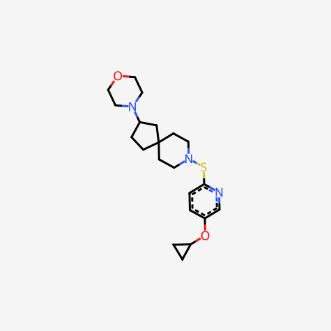 c1cc(SN2CCC3(CCC(N4CCOCC4)C3)CC2)ncc1OC1CC1